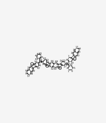 c1ccc(N(c2ccc3c(c2)oc2cc4ccccc4cc23)c2ccc3c(c2)oc2cc4cc5oc6cc(N(c7ccccc7)c7ccc8c(c7)oc7cc9ccccc9cc78)ccc6c5cc4cc23)cc1